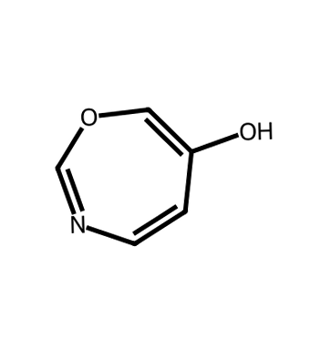 OC1=COC=NC=C1